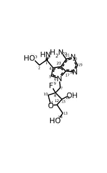 N=C(CO)c1cn(CC2(F)COC(CO)C2O)c2ncnc(N)c12